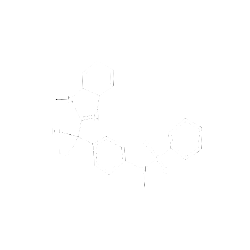 CN1C(C(O)(c2ccc(N(C)S(=O)(=O)c3ccccc3)cc2)C(F)(F)F)=NC2C=CC=CC21